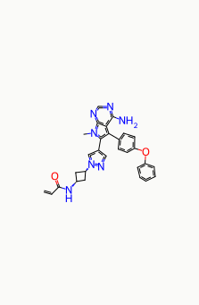 C=CC(=O)N[C@H]1C[C@@H](n2cc(-c3c(-c4ccc(Oc5ccccc5)cc4)c4c(N)ncnc4n3C)cn2)C1